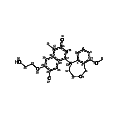 COc1cccc2c1COCCN2c1nc(=O)n(C)c2cc(OCCO)c(Cl)cc12